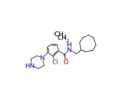 O=C(NC[C]1CCCCCCC1)c1cccc(N2CCNCC2)c1Cl.[CH2].[CH2]